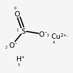 O=S([O-])[O-].[Cu+2].[H+]